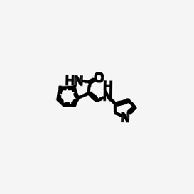 O=C1Nc2ccccc2C1=CNC1=CC=NC1